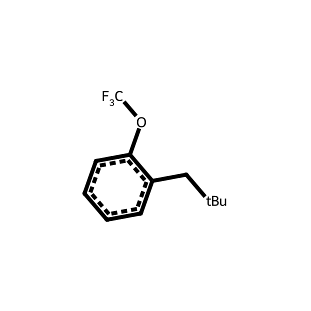 CC(C)(C)Cc1ccccc1OC(F)(F)F